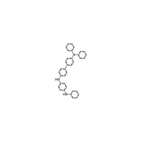 c1ccc(Nc2ccc(Nc3ccc(-c4ccc(N(c5ccccc5)c5ccccc5)cc4)cc3)cc2)cc1